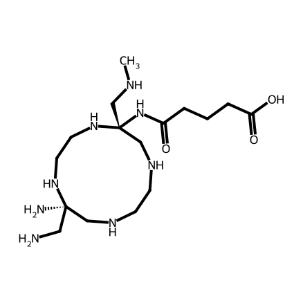 CNC[C@@]1(NC(=O)CCCC(=O)O)CNCCNC[C@@](N)(CN)NCCN1